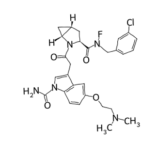 CN(C)CCOc1ccc2c(c1)c(CC(=O)N1[C@@H]3C[C@@H]3C[C@H]1C(=O)N(F)Cc1cccc(Cl)c1)cn2C(N)=O